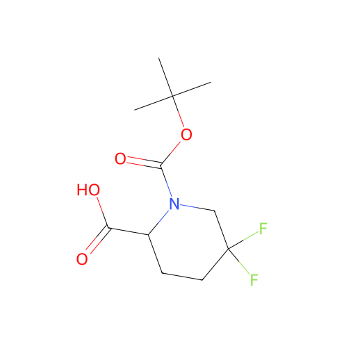 CC(C)(C)OC(=O)N1CC(F)(F)CCC1C(=O)O